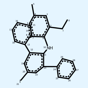 CCc1cc(C)cc(C)c1Nc1c(-c2ccccc2)cc(I)cc1-c1ccccc1